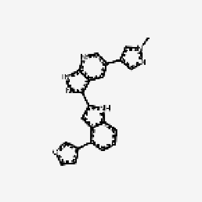 Cn1cc(-c2cnc3[nH]nc(-c4cc5c(-c6ccoc6)cccc5[nH]4)c3c2)cn1